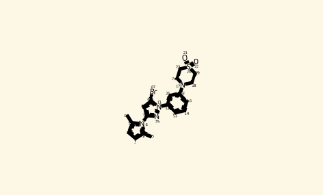 Cc1ccc(C)n1-c1cc(Br)n(-c2cccc(N3CCS(=O)(=O)CC3)c2)n1